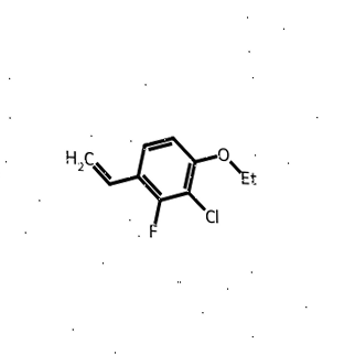 C=Cc1ccc(OCC)c(Cl)c1F